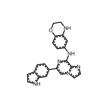 c1cn2cc(-c3ccc4cc[nH]c4c3)nc(Nc3ccc4c(c3)NCCO4)c2n1